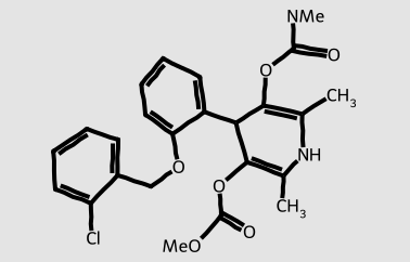 CNC(=O)OC1=C(C)NC(C)=C(OC(=O)OC)C1c1ccccc1OCc1ccccc1Cl